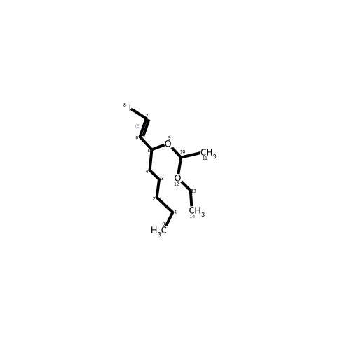 CCCCCC(/C=C/I)OC(C)OCC